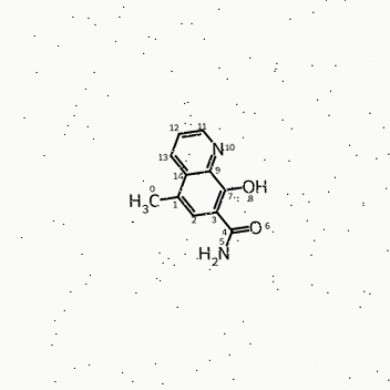 Cc1cc(C(N)=O)c(O)c2ncccc12